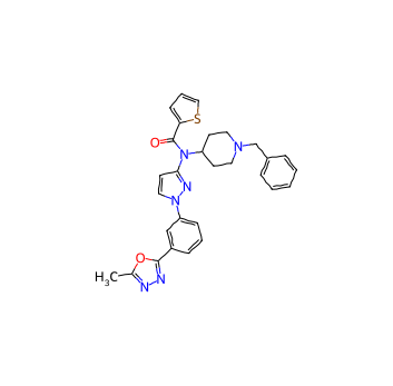 Cc1nnc(-c2cccc(-n3ccc(N(C(=O)c4cccs4)C4CCN(Cc5ccccc5)CC4)n3)c2)o1